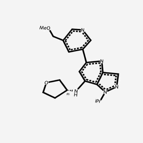 COCc1cncc(-c2cc(N[C@@H]3CCOC3)c3c(cnn3C(C)C)n2)c1